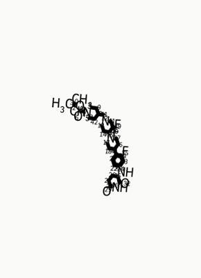 CC(C)(C)OC(=O)N1CCC(CN2CCC(N3CCC(c4ccc(NC5CCC(=O)NC5=O)cc4F)CC3)C(F)(F)C2)CC1